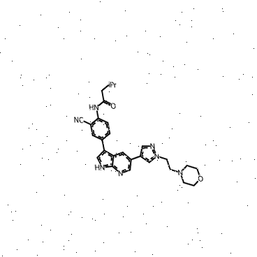 CC(C)CC(=O)Nc1ccc(-c2c[nH]c3ncc(-c4cnn(CCN5CCOCC5)c4)cc23)cc1C#N